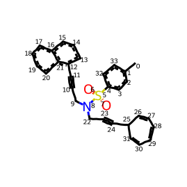 Cc1ccc(S(=O)(=O)N(CC#Cc2cccc3ccccc23)CC#CC2C=CC=CC=C2)cc1